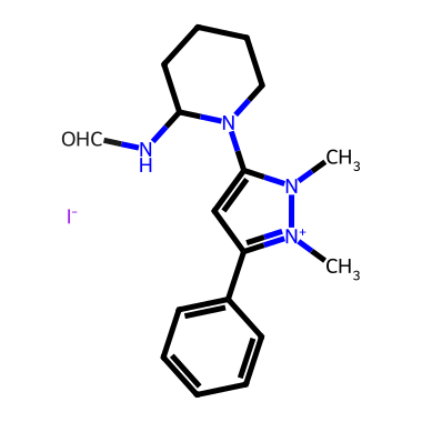 Cn1c(N2CCCCC2NC=O)cc(-c2ccccc2)[n+]1C.[I-]